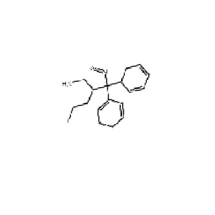 CCC(CCI)C(N=O)(C1=CCCC=C1)C1C=CC=CC1